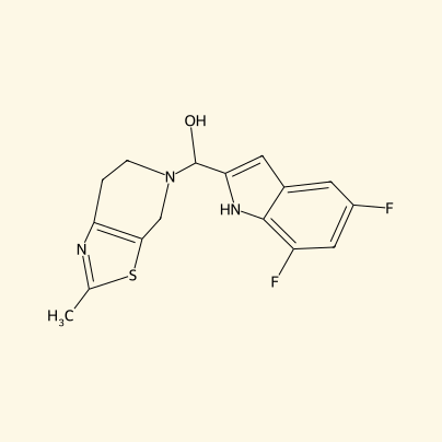 Cc1nc2c(s1)CN(C(O)c1cc3cc(F)cc(F)c3[nH]1)CC2